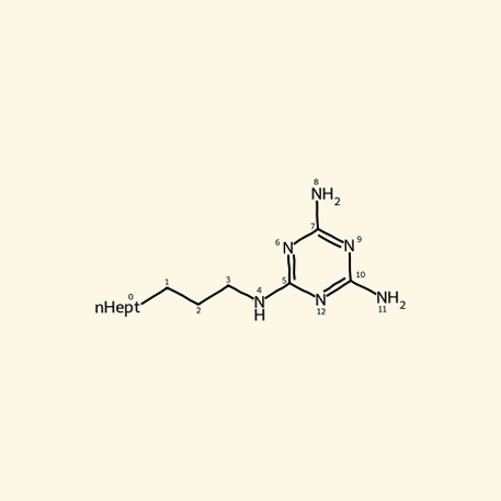 CCCCCCCCCCNc1nc(N)nc(N)n1